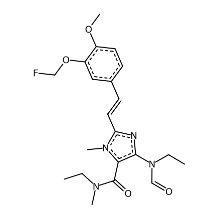 CCN(C)C(=O)c1c(N(C=O)CC)nc(/C=C/c2ccc(OC)c(OCF)c2)n1C